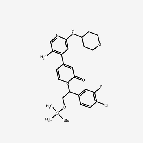 Cc1cnc(NC2CCOCC2)nc1-c1ccn(C(CO[Si](C)(C)C(C)(C)C)c2ccc(Cl)c(F)c2)c(=O)c1